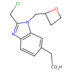 O=C(O)Cc1ccc2nc(CCl)n(CC3CCO3)c2c1